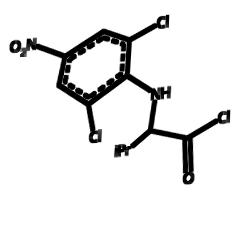 CC(C)C(Nc1c(Cl)cc([N+](=O)[O-])cc1Cl)C(=O)Cl